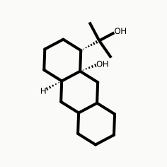 CC(C)(O)[C@H]1CCC[C@@H]2CC3CCCCC3C[C@@]21O